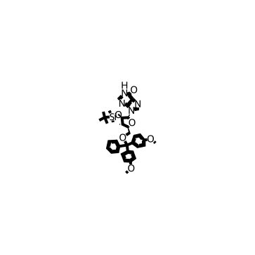 COc1ccc(C(OC[C@H]2[CH][C@@H](O[Si](C)(C)C(C)(C)C)[C@H](n3cnc4c(=O)[nH]cnc43)O2)(c2ccccc2)c2ccc(OC)cc2)cc1